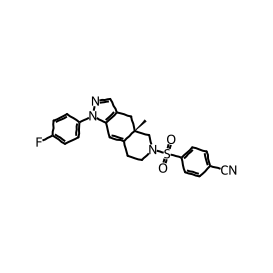 C[C@]12Cc3cnn(-c4ccc(F)cc4)c3C=C1CCN(S(=O)(=O)c1ccc(C#N)cc1)C2